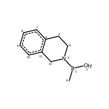 CB(O)N1CCc2ccccc2C1